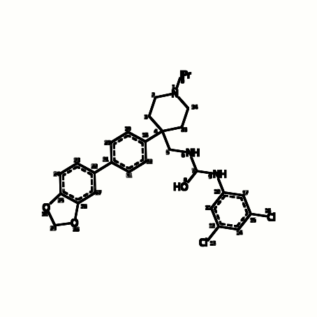 CC(C)N1CCC(CNC(O)Nc2cc(Cl)cc(Cl)c2)(c2ccc(-c3ccc4c(c3)OCO4)cc2)CC1